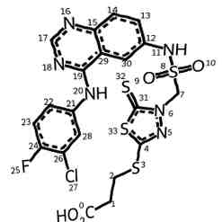 O=C(O)CCSc1nn(CS(=O)(=O)Nc2ccc3ncnc(Nc4ccc(F)c(Cl)c4)c3c2)c(=S)s1